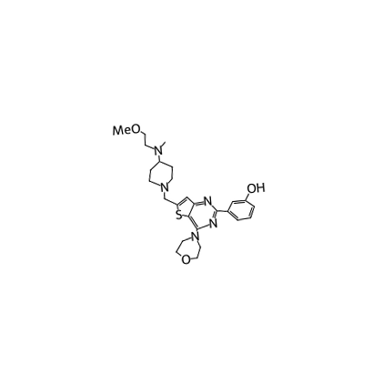 COCCN(C)C1CCN(Cc2cc3nc(-c4cccc(O)c4)nc(N4CCOCC4)c3s2)CC1